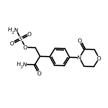 NC(=O)C(COS(N)(=O)=O)c1ccc(N2CCOCC2=O)cc1